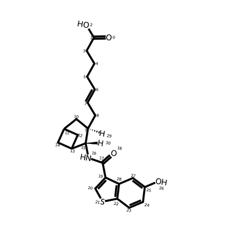 O=C(O)CCCC=CC[C@@H]1CC2CC(C2)[C@H]1NC(=O)c1csc2ccc(O)cc12